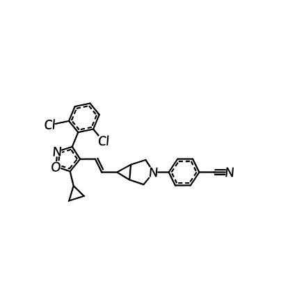 N#Cc1ccc(N2CC3C(/C=C/c4c(-c5c(Cl)cccc5Cl)noc4C4CC4)C3C2)cc1